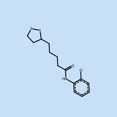 O=C(CCCCC1CCSS1)Nc1ccccc1Cl